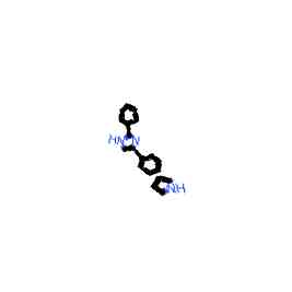 c1cc[nH]c1.c1ccc(-c2c[nH]c(-c3ccccc3)n2)cc1